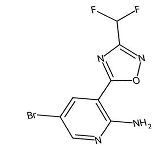 Nc1ncc(Br)cc1-c1nc(C(F)F)no1